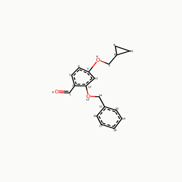 O=Cc1ccc(OCC2CC2)cc1OCc1ccccc1